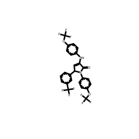 O=C1C(Nc2ccc(OC(F)(F)F)cc2)=CC(c2cccc(C(F)(F)F)c2)N1c1ccc(OC(F)(F)F)cc1